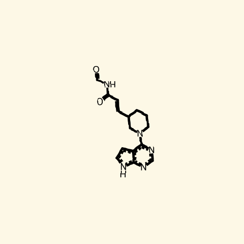 O=CNC(=O)C=CC1CCCN(c2ncnc3[nH]ccc23)C1